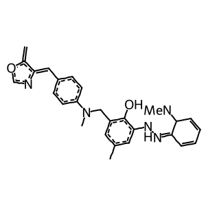 C=c1ocn/c1=C\c1ccc(N(C)Cc2cc(C)cc(N/N=C3/C=CC=CC3NC)c2O)cc1